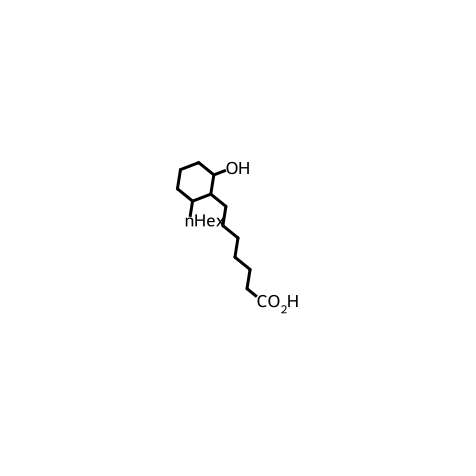 CCCCCCC1CCCC(O)C1CCCCCCC(=O)O